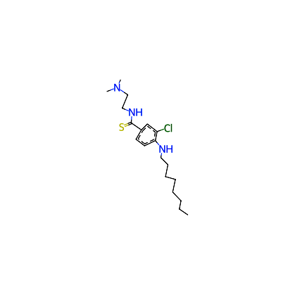 CCCCCCCCNc1ccc(C(=S)NCCN(C)C)cc1Cl